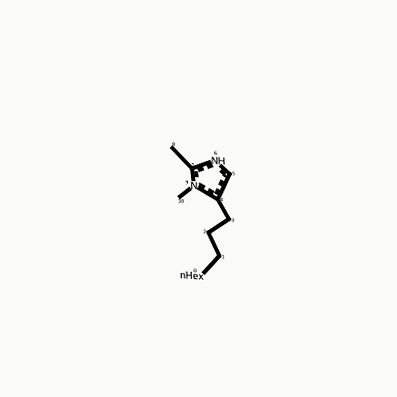 CCCCCCCCCc1c[nH]c(C)[n+]1C